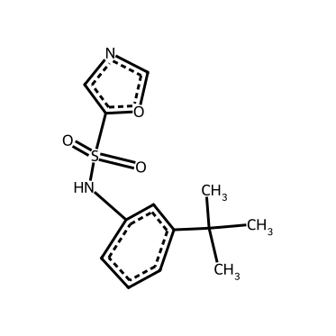 CC(C)(C)c1cccc(NS(=O)(=O)c2cnco2)c1